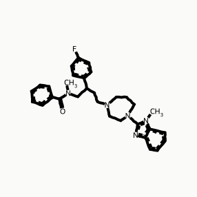 CN(CC(CCN1CCCN(c2nc3ccccc3n2C)CC1)c1ccc(F)cc1)C(=O)c1ccccc1